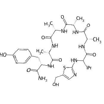 CC(C)C(Nc1ncc(CO)s1)C(=O)N[C@@H](C)C(=O)N[C@@H](C)C(=O)N[C@@H](C)C(=O)N[C@@H](C)C(=O)N[C@@H](Cc1ccc(O)cc1)C(N)=O